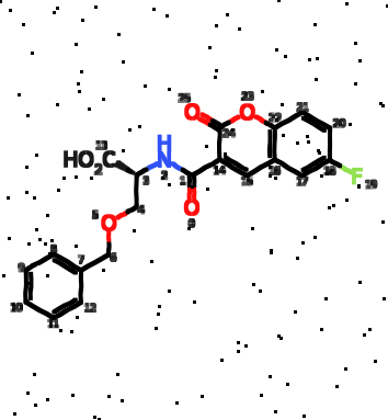 O=C(N[C@@H](COCc1ccccc1)C(=O)O)c1cc2cc(F)ccc2oc1=O